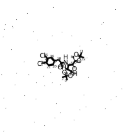 CC1(C)O[C@H]2O[C@H]([C@H]3COC(C)(C)O3)[C@@H](NC(=O)Cc3ccc(Cl)c(Cl)c3)[C@H]2O1